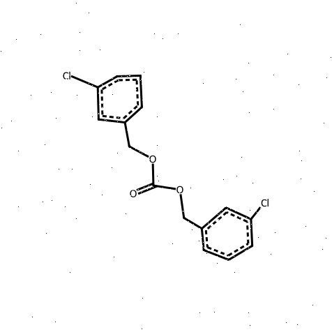 O=C(OCc1cccc(Cl)c1)OCc1cccc(Cl)c1